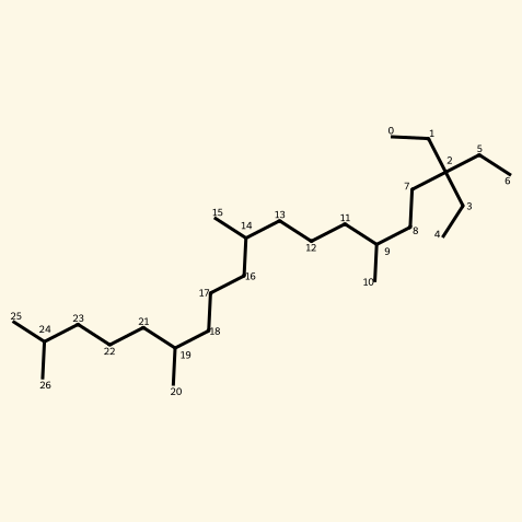 CCC(CC)(CC)CCC(C)CCCC(C)CCCC(C)CCCC(C)C